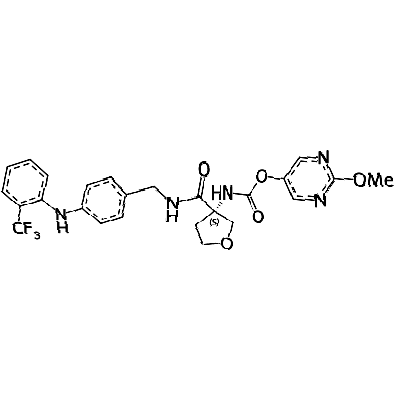 COc1ncc(OC(=O)N[C@@]2(C(=O)NCc3ccc(Nc4ccccc4C(F)(F)F)cc3)CCOC2)cn1